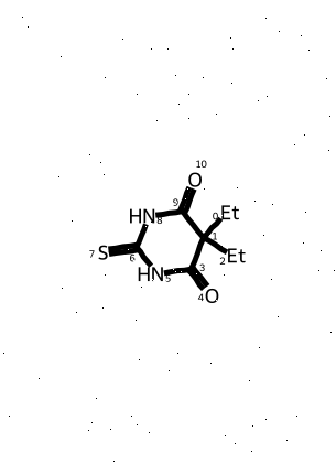 CCC1(CC)C(=O)NC(=S)NC1=O